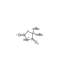 CCCCC1(CCCC)CC(=O)NC1=O